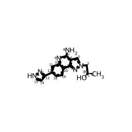 C[C@@H](O)Cn1cc2c(N)nc3cc(-c4cc[nH]n4)ccc3c2n1